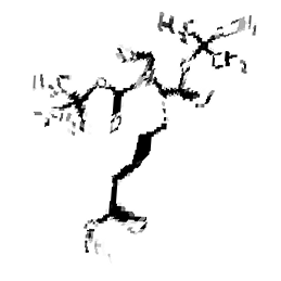 COC(=O)/C=C/CC[C@@H](C(=O)OC(C)(C)C)N(C=O)C(=O)OC(C)(C)C